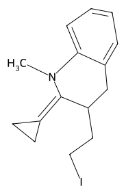 CN1C(=C2CC2)C(CCI)Cc2ccccc21